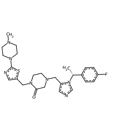 C[C@H](c1ccc(F)cc1)n1cncc1CN1CCN(Cc2cnc(N3CCN(C)CC3)s2)C(=O)C1